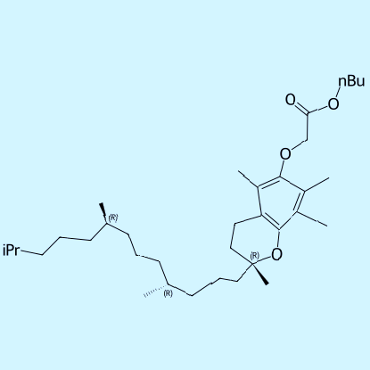 CCCCOC(=O)COc1c(C)c(C)c2c(c1C)CC[C@@](C)(CCC[C@H](C)CCC[C@H](C)CCCC(C)C)O2